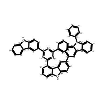 c1ccc(-c2nc(-c3ccc4oc5ccccc5c4c3)nc(-c3cccc4oc5ccc(-c6ccc7c(c6)c6ccccc6n7-c6ccccc6)cc5c34)n2)cc1